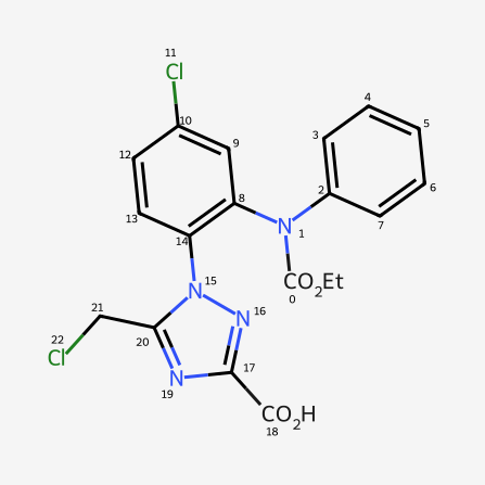 CCOC(=O)N(c1ccccc1)c1cc(Cl)ccc1-n1nc(C(=O)O)nc1CCl